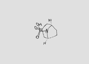 O=C1C[C@H]2CC[C@@H](C1)N2C(=O)O